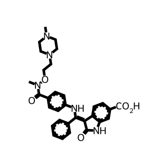 CN1CCN(CCON(C)C(=O)c2ccc(NC(=C3C(=O)Nc4cc(C(=O)O)ccc43)c3ccccc3)cc2)CC1